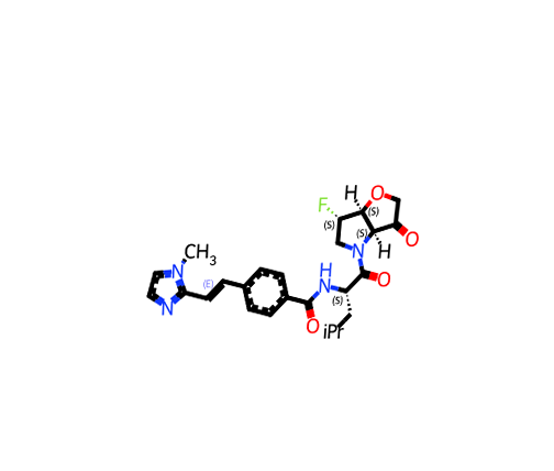 CC(C)C[C@H](NC(=O)c1ccc(/C=C/c2nccn2C)cc1)C(=O)N1C[C@H](F)[C@H]2OCC(=O)[C@H]21